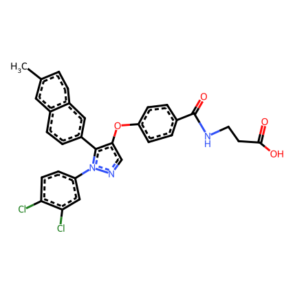 Cc1ccc2cc(-c3c(Oc4ccc(C(=O)NCCC(=O)O)cc4)cnn3-c3ccc(Cl)c(Cl)c3)ccc2c1